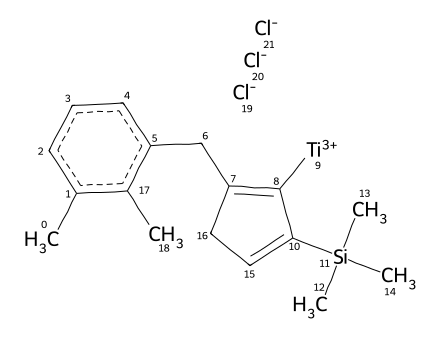 Cc1cccc(CC2=[C]([Ti+3])C([Si](C)(C)C)=CC2)c1C.[Cl-].[Cl-].[Cl-]